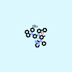 Cc1cc2c3c(c1)N(c1ccccc1)c1c(nc4ccccn14)B3c1ccc(N(c3ccc(C(C)(C)C)cc3)c3cccc4ccccc34)cc1N2c1cccc2c1oc1ccccc12